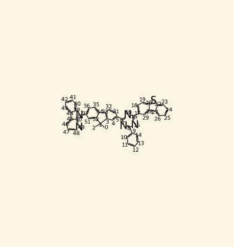 CC1(C)c2cc(-c3nc(-c4ccccc4)nc(-c4ccc5sc6ccccc6c5c4)n3)ccc2-c2ccc(-n3c4ccccc4c4cccnc43)cc21